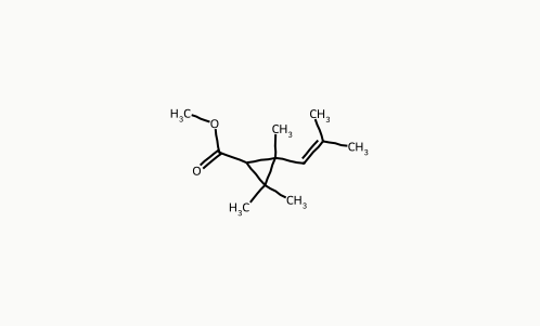 COC(=O)C1C(C)(C)C1(C)C=C(C)C